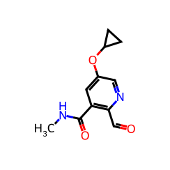 CNC(=O)c1cc(OC2CC2)cnc1C=O